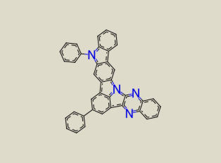 c1ccc(-c2cc3c4cc5c(cc4n4c6nc7ccccc7nc6c(c2)c34)c2ccccc2n5-c2ccccc2)cc1